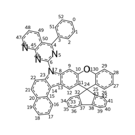 c1ccc(-c2nc(-n3c4cc5c(cc4c4c6ccccc6ccc43)C3(c4ccccc4O5)c4ccccc4-c4ccccc43)nc3ncccc23)cc1